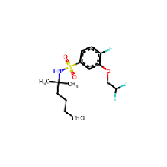 CC(C)(CCCC=O)NS(=O)(=O)c1ccc(F)c(OCC(F)F)c1